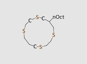 CCCCCCCCC1CSCCSCCCSCCSC1